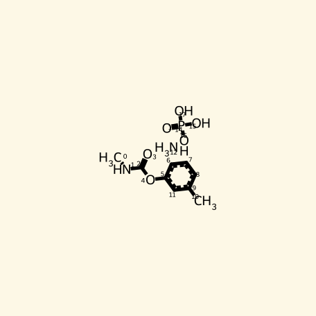 CNC(=O)Oc1cccc(C)c1.N.O=P(O)(O)O